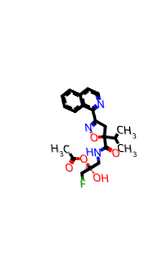 CC(=O)O[C@](O)(CF)CNC(=O)C1(C(C)C)CC(c2nccc3ccccc23)=NO1